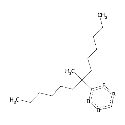 CCCCCCC(C)(CCCCCC)c1bbcbb1